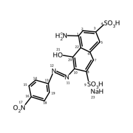 Nc1cc(S(=O)(=O)O)cc2cc(S(=O)(=O)O)c(N=Nc3ccc([N+](=O)[O-])cc3)c(O)c12.[NaH]